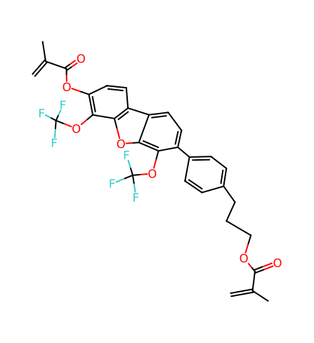 C=C(C)C(=O)OCCCc1ccc(-c2ccc3c(oc4c(OC(F)(F)F)c(OC(=O)C(=C)C)ccc43)c2OC(F)(F)F)cc1